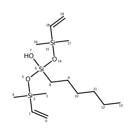 C=C[Si](C)(C)O[Si](O)(CCCCCC)O[Si](C)(C)C=C